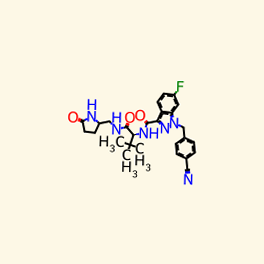 CC(C)(C)[C@H](NC(=O)c1nn(Cc2ccc(C#N)cc2)c2cc(F)ccc12)C(=O)NCC1CCC(=O)N1